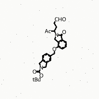 CC(=O)C(CCC=O)N1Cc2c(OCc3ccc4c(c3)CN(C(=O)OC(C)(C)C)C4)cccc2C1=O